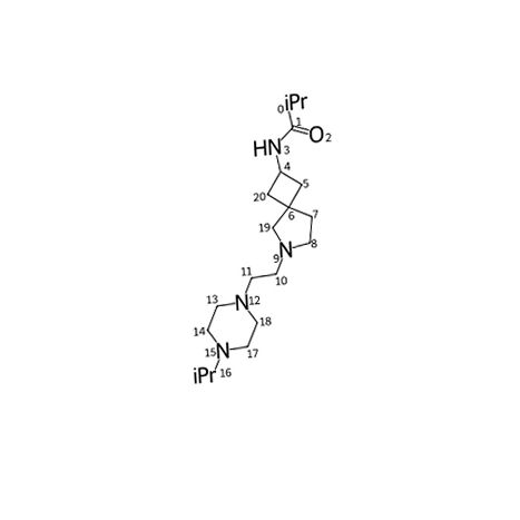 CC(C)C(=O)NC1CC2(CCN(CCN3CCN(C(C)C)CC3)C2)C1